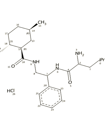 CC(C)CC(N)C(=O)NC(CNC(=O)[C@@H]1C[C@H](C)CC[C@H]1C(C)C)c1ccccc1.Cl